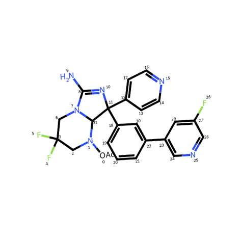 CC(=O)ON1CC(F)(F)CN2C(N)=NC(c3ccncc3)(c3cccc(-c4cncc(F)c4)c3)C12